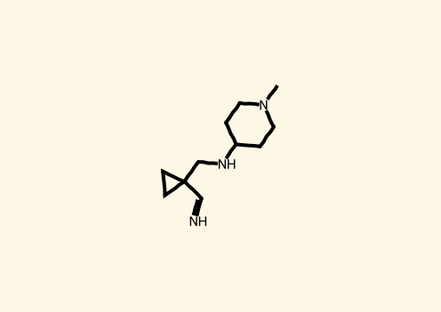 CN1CCC(NCC2(C=N)CC2)CC1